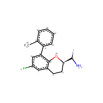 NC(I)[C@H]1CCc2cc(F)cc(-c3ccccc3C(F)(F)F)c2O1